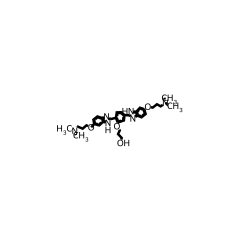 CN(C)CCCOc1ccc2nc(-c3ccc(-c4nc5ccc(OCCCN(C)C)cc5[nH]4)c(OCCCO)c3)[nH]c2c1